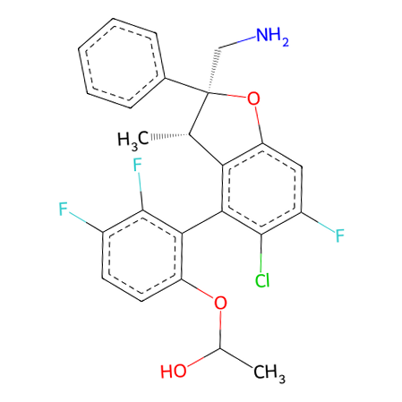 CC(O)Oc1ccc(F)c(F)c1-c1c(Cl)c(F)cc2c1[C@H](C)[C@@](CN)(c1ccccc1)O2